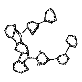 c1ccc(-c2ccc(-n3c4ccccc4c4cc5c6ccccc6n(-c6ncc(-c7cccc(-c8ccccc8)c7)cn6)c5cc43)cc2)cc1